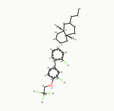 CCCC1CC[C@@H]2C[C@H](c3ccc(-c4ccc(OCC(F)(F)F)c(F)c4)c(F)c3)CC[C@@H]2C1